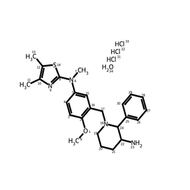 COc1ccc(N(C)c2nc(C)c(C)s2)cc1CN1CCCC(N)C1c1ccccc1.Cl.Cl.Cl.O